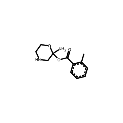 Cc1ccccc1C(=O)OC1(N)CNCCO1